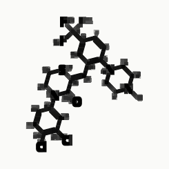 CN1CCN(c2ccc(C(F)(F)F)cc2C=C2SCCN(c3ccc(Cl)c(Cl)c3)C2=O)CC1